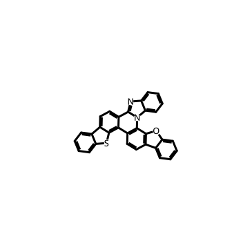 c1ccc2c(c1)nc1c3ccc4c5ccccc5sc4c3c3ccc4c5ccccc5oc4c3n21